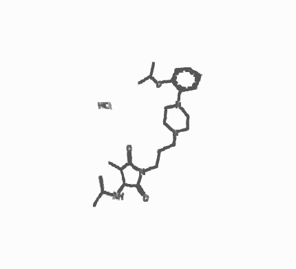 CC(C)NC1C(=O)N(CCCN2CCN(c3ccccc3OC(C)C)CC2)C(=O)C1C.Cl